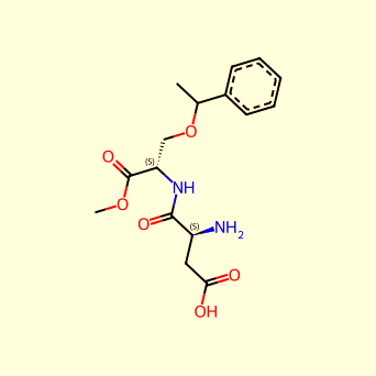 COC(=O)[C@H](COC(C)c1ccccc1)NC(=O)[C@@H](N)CC(=O)O